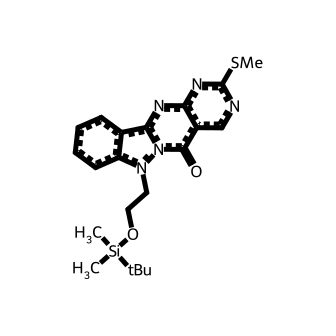 CSc1ncc2c(=O)n3c(nc2n1)c1ccccc1n3CCO[Si](C)(C)C(C)(C)C